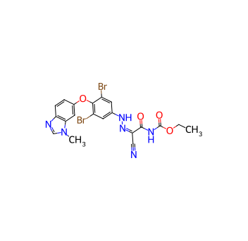 CCOC(=O)NC(=O)C(C#N)=NNc1cc(Br)c(Oc2ccc3ncn(C)c3c2)c(Br)c1